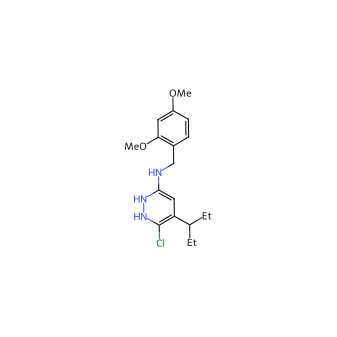 CCC(CC)C1=C(Cl)NNC(NCc2ccc(OC)cc2OC)=C1